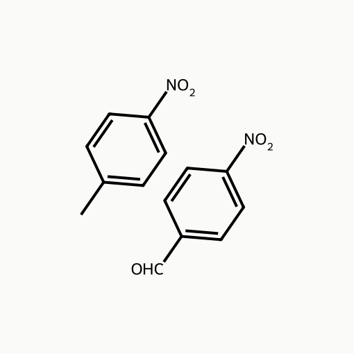 Cc1ccc([N+](=O)[O-])cc1.O=Cc1ccc([N+](=O)[O-])cc1